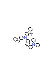 CC1(C)c2ccccc2-c2ccc(N(c3ccc4c(c3)C(C)(C)c3ccccc3-4)c3ccc4c(c3)C(C)(C)c3cccc(-n5c6ccccc6c6ccccc65)c3-4)cc21